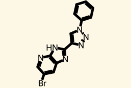 Brc1cnc2[nH]c(-c3cn(-c4ccccc4)nn3)nc2c1